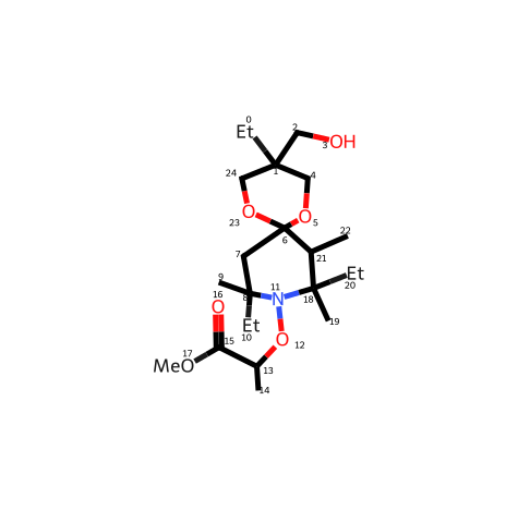 CCC1(CO)COC2(CC(C)(CC)N(OC(C)C(=O)OC)C(C)(CC)C2C)OC1